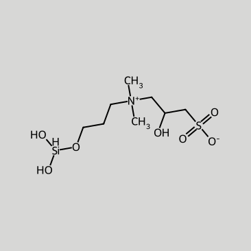 C[N+](C)(CCCO[SiH](O)O)CC(O)CS(=O)(=O)[O-]